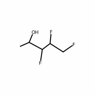 CC(O)C(F)C(F)CF